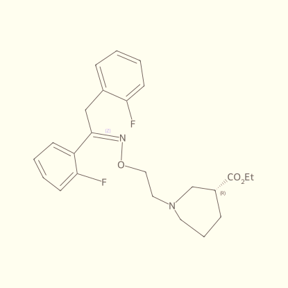 CCOC(=O)[C@@H]1CCCN(CCO/N=C(/Cc2ccccc2F)c2ccccc2F)C1